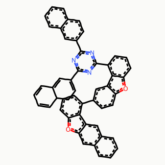 C1=CC2=CC(c3nc(-c4ccc5ccccc5c4)nc(-c4cccc5oc6ccc(-c7cccc8oc9cc%10ccccc%10cc9c78)cc6c45)n3)=CCC2C=C1